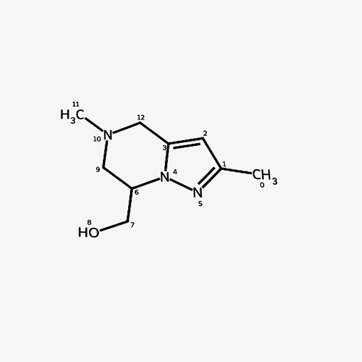 Cc1cc2n(n1)C(CO)CN(C)C2